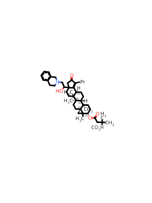 CC(C)C1=C2[C@H]3CC[C@@H]4[C@@]5(C)CC[C@H](OC(=O)CC(C)(C)C(=O)O)C6(C)C[C@]65CC[C@@]4(C)[C@]3(C)CCC2(C(O)CN2CCc3ccccc3C2)CC1=O